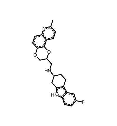 Cc1ccc2c3c(ccc2n1)OC[C@H](CN[C@H]1CCc2c([nH]c4ccc(F)cc24)C1)O3